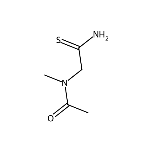 CC(=O)N(C)CC(N)=S